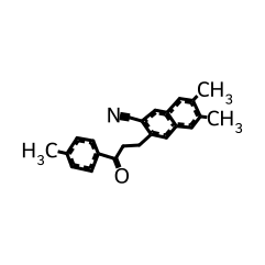 Cc1ccc(C(=O)CCc2cc3cc(C)c(C)cc3cc2C#N)cc1